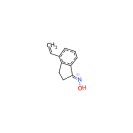 C=Cc1cccc2c1CC/C2=N\O